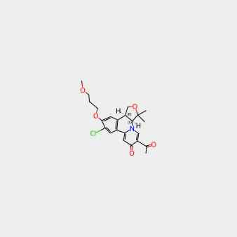 COCCCOc1cc2c(cc1Cl)-c1cc(=O)c(C(C)=O)cn1[C@H]1[C@@H]2COC1(C)C